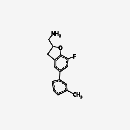 Cc1cccc(-c2cc(F)c3c(c2)CC(CN)O3)c1